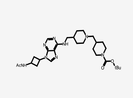 CC(=O)NC1CC(n2cnc3c(NCC4CCN(CC5CCN(C(=O)OC(C)(C)C)CC5)CC4)ncnc32)C1